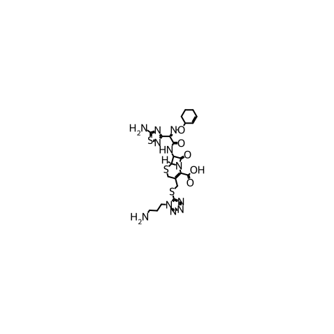 NCCCn1nnnc1SCC1=C(C(=O)O)N2C(=O)C(NC(=O)/C(=N\OC3C=CCCC3)c3nsc(N)n3)[C@H]2SC1